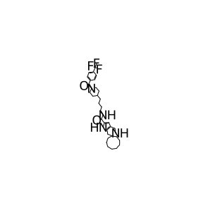 O=C(NCCCCC1CCN(C(=O)c2ccc(C(F)(F)F)cc2)CC1)c1cc2c([nH]1)CC1(CCCCCCCC1)NC2